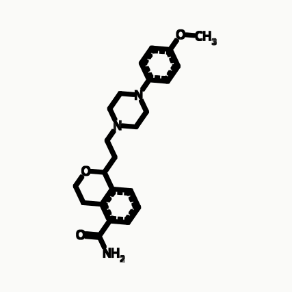 COc1ccc(N2CCN(CCC3OCCc4c(C(N)=O)cccc43)CC2)cc1